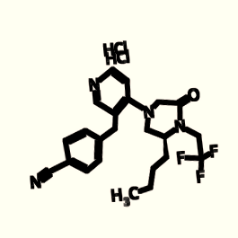 CCCC[C@H]1CN(c2ccncc2Cc2ccc(C#N)cc2)CC(=O)N1CC(F)(F)F.Cl.Cl